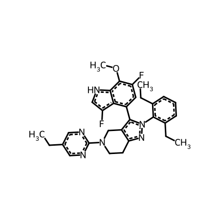 CCc1cnc(N2CCc3nn(-c4c(CC)cccc4CC)c(-c4cc(F)c(OC)c5[nH]cc(F)c45)c3C2)nc1